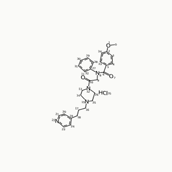 COc1ccc(C(=O)N(CC(=O)N2CCN(CCCc3ccncc3)CC2)c2ccccc2)cc1.Cl